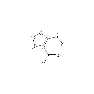 COc1ccsc1C(C)=O